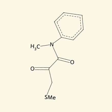 CSCC(=O)C(=O)N(C)c1ccccc1